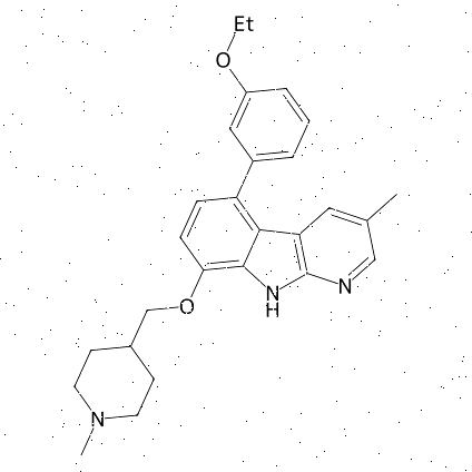 CCOc1cccc(-c2ccc(OCC3CCN(C)CC3)c3[nH]c4ncc(C)cc4c23)c1